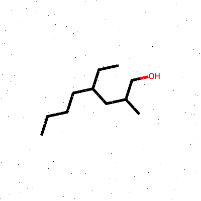 CCCCC(CC)CC(C)CO